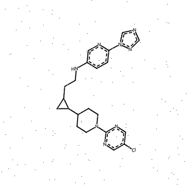 Clc1cnc(N2CCC(C3CC3CCNc3ccc(-n4cncn4)nc3)CC2)nc1